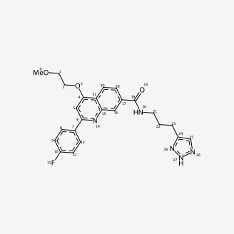 COCCOc1cc(-c2ccc(F)cc2)nc2cc(C(=O)NCCCc3cn[nH]n3)ccc12